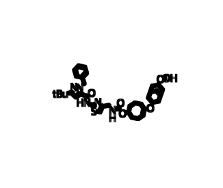 CC(C)(C)c1cc(C(=O)Nc2nc(CNC(=O)OC3CC/C=C(/OC4CC5CC(CC(OO)C5)C4)CCC3)cs2)n(Cc2ccccc2)n1